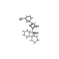 Brc1cccc(-c2c[nH]c([C@@H](NC3CCCCC3)C3CCCCC3)n2)c1